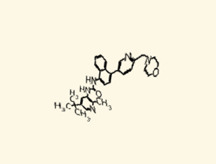 Cc1ncc(C(C)(C)C)cc1NC(=O)Nc1ccc(-c2ccc(CN3CCOCC3)nc2)c2ccccc12